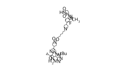 Cn1nc(N2CCC(=O)NC2=O)c2ccc(C3CCN(CCCCCCOC(=O)N4CCC(c5cnc(-c6c(-c7nn(C(C)(C)C)c8ncnc(N)c78)noc6C6CC6)nc5)CC4)CC3)c(F)c21